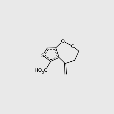 C=C1CCCOc2csc(C(=O)O)c21